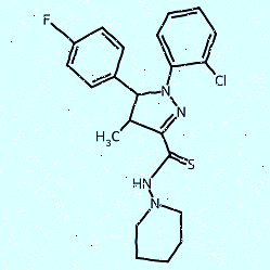 CC1C(C(=S)NN2CCCCC2)=NN(c2ccccc2Cl)C1c1ccc(F)cc1